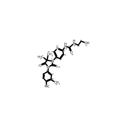 [C-]#[N+]c1ccc(N2C(=O)C(C)(C)N(c3ccc(NC(=O)NCCO)nc3)C2=S)cc1C